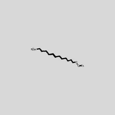 CCCCCCCCCCCCCCCCCCCCCCOOCC